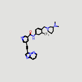 CN(C)[C@H]1CCCN(CC2=CC=C(NC(=O)c3cncc(C#Cc4cnc5cccnn45)c3)CC2C(F)(F)F)C1